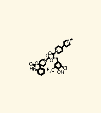 CN1CCC(C2CCN(C(=O)[C@@H](Cc3cc(Cl)c(O)c(C(F)(F)F)c3)OC(=O)N3CCC4(CC3)OC(=O)Nc3ccccc34)CC2)CC1